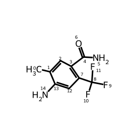 Cc1cc(C(N)=O)c(C(F)(F)F)cc1N